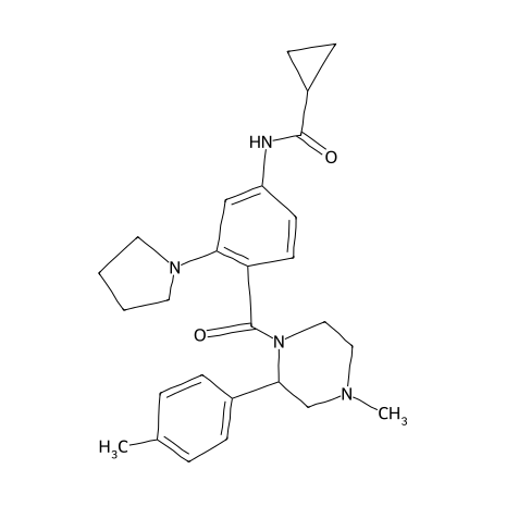 Cc1ccc(C2CN(C)CCN2C(=O)c2ccc(NC(=O)C3CC3)cc2N2CCCC2)cc1